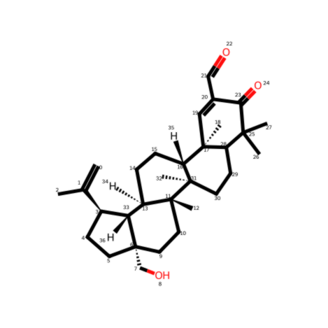 C=C(C)[C@@H]1CC[C@]2(CO)CC[C@]3(C)[C@H](CC[C@@H]4[C@@]5(C)C=C(C=O)C(=O)C(C)(C)C5CC[C@]43C)[C@@H]12